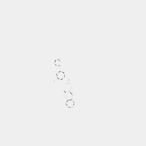 CC(=O)c1ccc(-c2cc(Cl)c3c(c2)C[C@@H](C/C(=C/c2cccnc2)C(N)=O)O3)s1